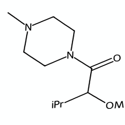 COC(C(=O)N1CCN(C)CC1)C(C)C